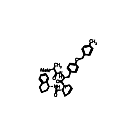 CN[C@@H](C)C(=O)N[C@@H](Cc1ccc(OCc2ccc(C)cc2)cc1)C(=O)N1CC=CC[C@H]1C(=O)N[C@@H]1CCCc2ccccc21